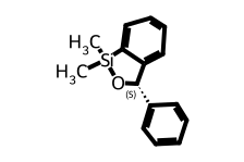 C[Si]1(C)O[C@@H](c2ccccc2)c2ccccc21